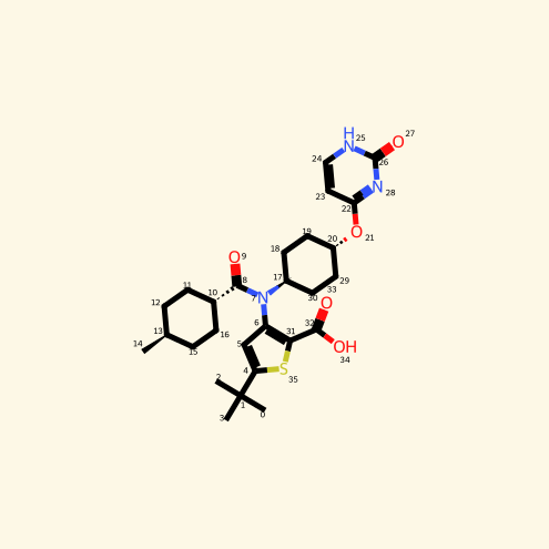 CC(C)(C)c1cc(N(C(=O)[C@H]2CC[C@H](C)CC2)[C@H]2CC[C@H](Oc3cc[nH]c(=O)n3)CC2)c(C(=O)O)s1